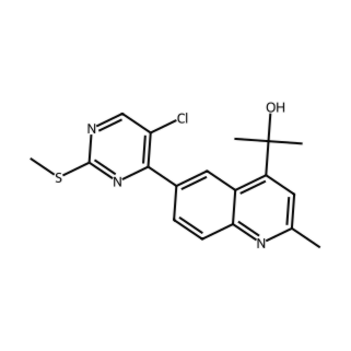 CSc1ncc(Cl)c(-c2ccc3nc(C)cc(C(C)(C)O)c3c2)n1